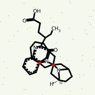 CCC(CCC(=O)O)c1nc2ccccc2n(C2CC3CC[C@@H](C2)N3C2CC3CCCCC(C3)C2)c1=O